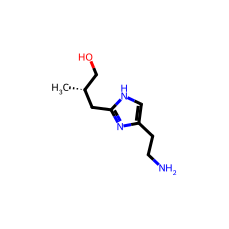 C[C@H](CO)Cc1nc(CCN)c[nH]1